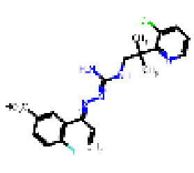 C=C/C(=N\N=C(/N)NCC(C)(C)c1ncccc1Cl)c1cc(C(=O)O)ccc1F